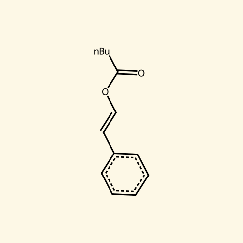 CCCCC(=O)O/C=C/c1ccccc1